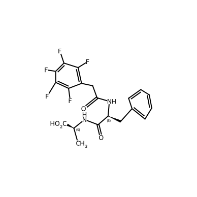 C[C@H](NC(=O)[C@H](Cc1ccccc1)NC(=O)Cc1c(F)c(F)c(F)c(F)c1F)C(=O)O